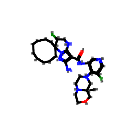 Nc1nn2c(c1C(=O)Nc1cncc(F)c1N1CCN3CCOC[C@@H]3C1)NCC(F)C21CCCCCCCCC1